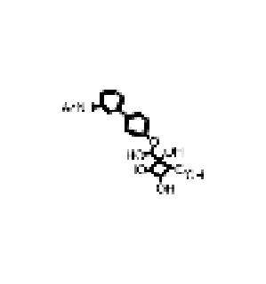 CC(=O)Nc1cccc(-c2ccc(OC(O)C3(O)C(O)C(O)C3CO)cc2)c1